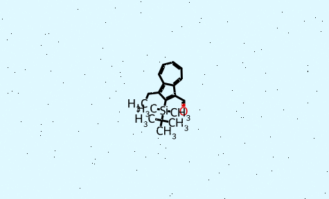 CCc1c2cccccc-2c(C=O)c1[Si](C)(C)C(C)(C)C